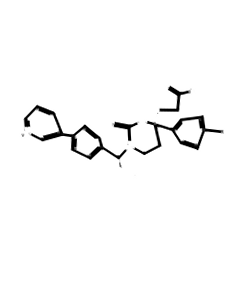 C[C@@H](c1ccc(-c2ccc[n+]([O-])c2)cc1)N1CC[C@](CCC(N)=O)(c2ccc(F)cc2)OC1=O